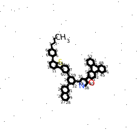 CCCCc1ccc(-c2cccc3c2sc2ccc(-c4cc(-c5ccc6ccccc6c5)cc(-c5cc6c(cn5)oc5cc7c8ccccc8c8ccccc8c7cc56)c4)cc23)cc1